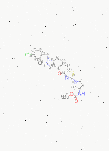 CC(C)(C)OC(=O)NC1CCN(C2=NC(=O)C(=Cc3ccc4c(cnn4Cc4ccc(Cl)cc4C(F)(F)F)c3)S2)C1